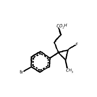 CC1C(F)C1(CCC(=O)O)c1ccc(Br)cc1